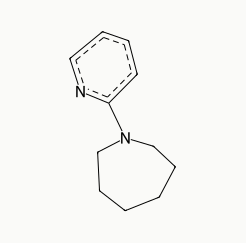 c1ccc(N2CCCCCC2)nc1